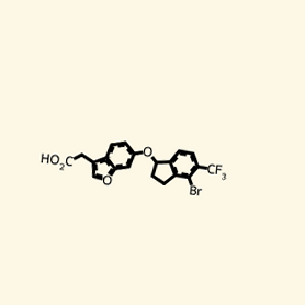 O=C(O)Cc1coc2cc(OC3CCc4c3ccc(C(F)(F)F)c4Br)ccc12